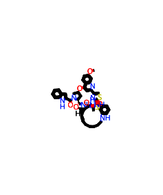 COc1ccc2c(O[C@@H]3C[C@@H](C(=O)N[C@]45C[C@H]4/C=C\CCCCCNc4ccccc4S(=O)(=O)NC5=O)N(C(=O)c4cc5ccccc5[nH]4)C3)cc(-c3csc(NC(C)C)n3)nc2c1